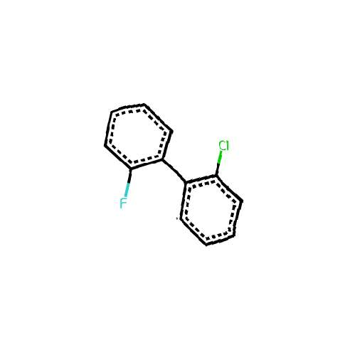 Fc1ccccc1-c1[c]cccc1Cl